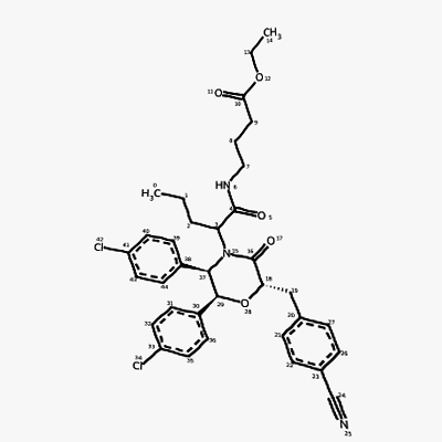 CCCC(C(=O)NCCCC(=O)OCC)N1C(=O)[C@H](Cc2ccc(C#N)cc2)O[C@@H](c2ccc(Cl)cc2)[C@H]1c1ccc(Cl)cc1